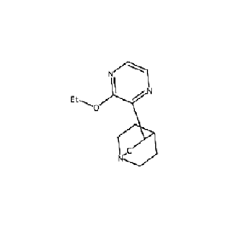 CCOc1nccnc1C1CN2CCC1CC2